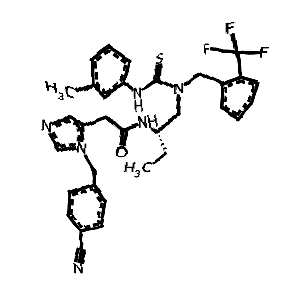 CC[C@@H](CN(Cc1ccccc1C(F)(F)F)C(=S)Nc1cccc(C)c1)NC(=O)Cc1cncn1Cc1ccc(C#N)cc1